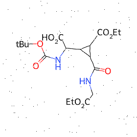 CCOC(=O)CNC(=O)C1C(C(=O)OCC)C1C(NC(=O)OC(C)(C)C)C(=O)O